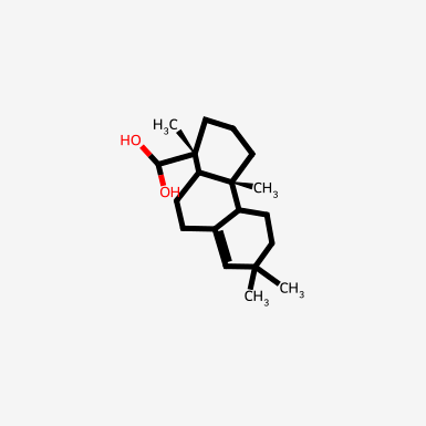 CC1(C)C=C2CCC3[C@](C)(C(O)O)CCC[C@]3(C)C2CC1